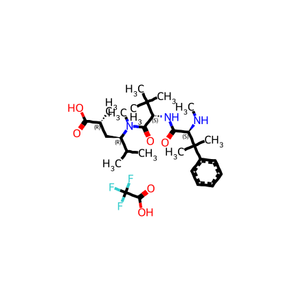 CN[C@H](C(=O)N[C@H](C(=O)N(C)[C@H](C[C@@H](C)C(=O)O)C(C)C)C(C)(C)C)C(C)(C)c1ccccc1.O=C(O)C(F)(F)F